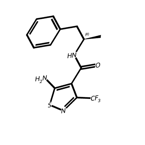 C[C@H](Cc1ccccc1)NC(=O)c1c(C(F)(F)F)nsc1N